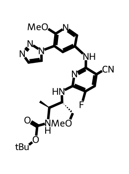 COC[C@@H](Nc1nc(Nc2cnc(OC)c(-n3ccnn3)c2)c(C#N)cc1F)[C@H](C)NC(=O)OC(C)(C)C